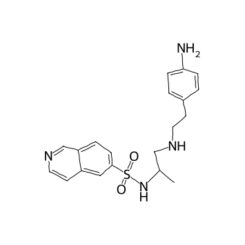 CC(CNCCc1ccc(N)cc1)NS(=O)(=O)c1ccc2cnccc2c1